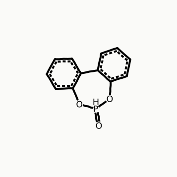 O=[PH]1Oc2ccccc2-c2ccccc2O1